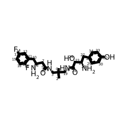 CC(C)(CNC(=O)CC(N)Cc1cc(F)ccc1F)CNC(=O)[C@@H](O)[C@H](N)Cc1ccc(O)cc1